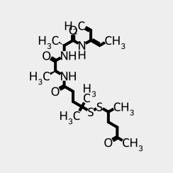 C=C/C(=C\C)NC(=O)[C@@H](C)NC(=O)[C@H](C)NC(=O)CCC(C)(C)SSC(C)CCC(C)=O